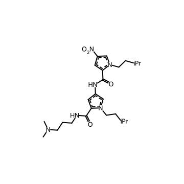 CC(C)CCn1cc(NC(=O)c2cc([N+](=O)[O-])cn2CCC(C)C)cc1C(=O)NCCCN(C)C